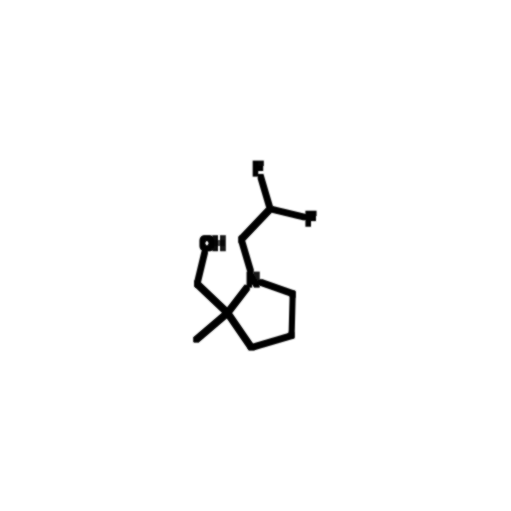 CC1(CO)CCCN1CC(F)F